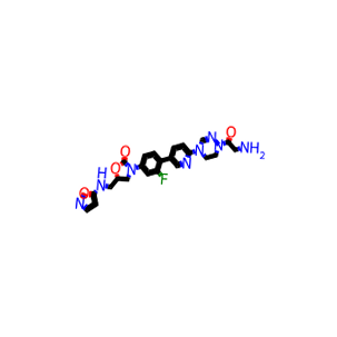 NCC(=O)N1CCN(c2ccc(-c3ccc(N4CC(CNc5ccno5)OC4=O)cc3F)cn2)C=N1